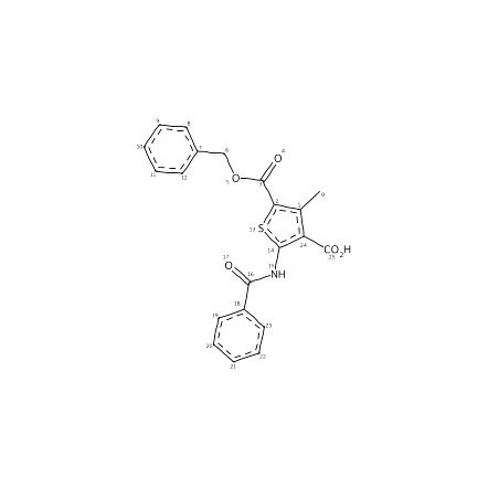 Cc1c(C(=O)OCc2ccccc2)sc(NC(=O)c2ccccc2)c1C(=O)O